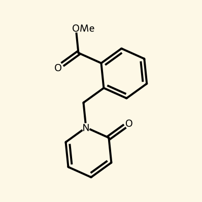 COC(=O)c1ccccc1Cn1ccccc1=O